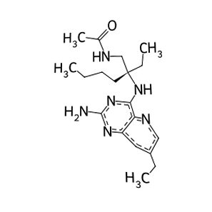 CCCC[C@](CC)(CNC(C)=O)Nc1nc(N)nc2cc(CC)cnc12